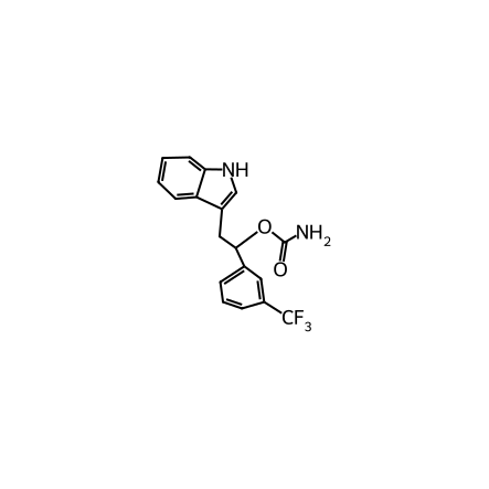 NC(=O)OC(Cc1c[nH]c2ccccc12)c1cccc(C(F)(F)F)c1